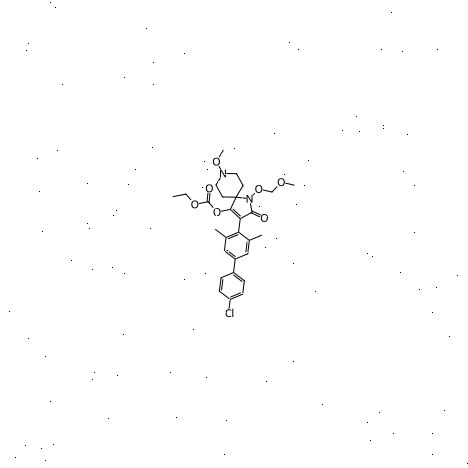 CCOC(=O)OC1=C(c2c(C)cc(-c3ccc(Cl)cc3)cc2C)C(=O)N(OCOC)C12CCN(OC)CC2